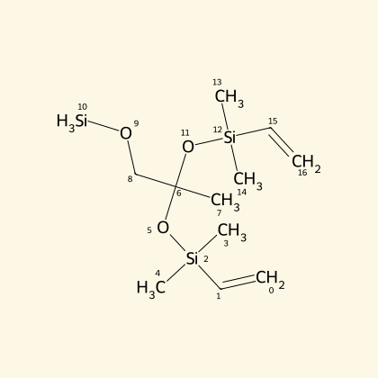 C=C[Si](C)(C)OC(C)(CO[SiH3])O[Si](C)(C)C=C